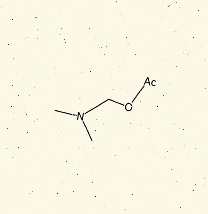 [CH2]C(=O)OCN(C)C